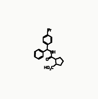 CC(C)c1ccc(C(NC(=O)C2CCCC2C(=O)O)c2ccccc2)cc1